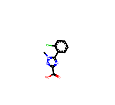 Cn1nc(C(=O)O)nc1-c1ccccc1Cl